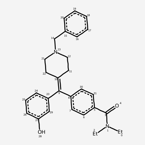 CCN(CC)C(=O)c1ccc(C(=C2CCN(Cc3ccccc3)CC2)c2cccc(O)c2)cc1